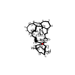 CC1CCCC2CC(C(=O)N[C@@H]3C[C@H]4CC[C@@H](C3)N4C(=O)CCCN)NC12C1CCCCCCC1